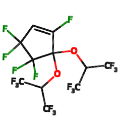 FC1=CC(F)(F)C(F)(F)C1(OC(C(F)(F)F)C(F)(F)F)OC(C(F)(F)F)C(F)(F)F